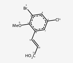 COc1c(Br)cc(Cl)cc1/C=C/C(=O)O